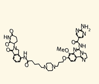 COc1c(OCCCN2CCN(CCCCC(=O)Nc3cccc4c3CN(C3CCC(=O)NC3=O)C4=O)CC2)ccc2c1N=C(NC(=O)c1cnc(N)nc1)N1CCN=C21